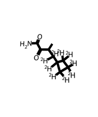 [2H]C([2H])(C(C)C(=O)C(N)=O)C1([2H])C([2H])([2H])C([2H])([2H])C1([2H])[2H]